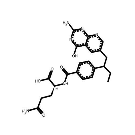 CCC(Cc1cnc2nc(N)nc(O)c2c1)c1ccc(C(=O)N[C@@H](CCC(N)=O)C(=O)O)cc1